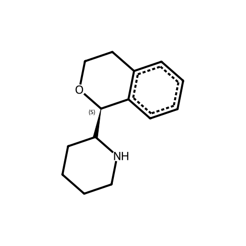 c1ccc2c(c1)CCO[C@@H]2C1CCCCN1